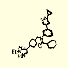 CCN/C=C(\C=N)C1CCC(CN(C(=O)C2CCCCC2)c2cccc(-c3cnn(C4CC4)c3)c2)CC1